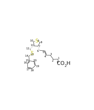 O=C(O)CCCC=CC[C@H]1CSC[C@H]1CSCc1ccccc1